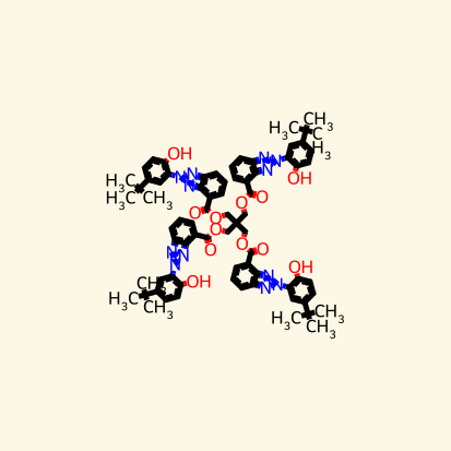 CC(C)(C)c1ccc(O)c(-n2n3c4cccc(C(=O)OCC(COC(=O)c5cccc6c5n5n(-c7cc(C(C)(C)C)ccc7O)n65)(COC(=O)c5cccc6c5n5n(-c7cc(C(C)(C)C)ccc7O)n65)COC(=O)c5cccc6c5n5n(-c7cc(C(C)(C)C)ccc7O)n65)c4n23)c1